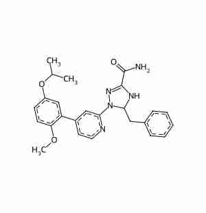 COc1ccc(OC(C)C)cc1-c1ccnc(N2N=C(C(N)=O)NC2Cc2ccccc2)c1